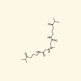 CC(C)C(=O)CCCNC(=O)CNN(C)CC(=O)NCCCC(=O)C(C)C